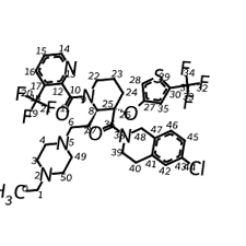 CCN1CCN(CC[C@H]2N(C(=O)c3ncccc3C(F)(F)F)CCC[C@@]2(Oc2csc(C(F)(F)F)c2)C(=O)N2CCc3cc(Cl)ccc3C2)CC1